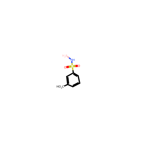 BNS(=O)(=O)c1cccc(C(=O)O)c1